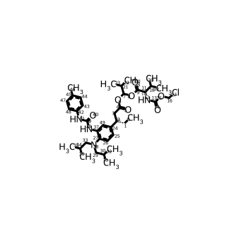 CC[C@@H](CC(=O)OC(OC(=O)[C@@H](NC(=O)OCCl)C(C)C)C(C)C)c1ccc(N(CC(C)C)CC(C)C)c(NC(=O)Nc2ccc(C)cc2)c1